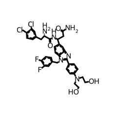 NC(=O)CC(NC(=O)[C@@H](N)Cc1ccc(Cl)c(Cl)c1)c1ccc2c(c1)nc(-c1ccc(N(CCO)CCO)cc1)n2Cc1ccc(F)c(F)c1